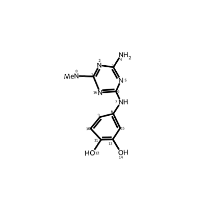 CNc1nc(N)nc(Nc2ccc(O)c(O)c2)n1